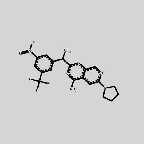 CC(c1cc([N+](=O)[O-])cc(C(F)(F)F)c1)c1nc(N)c2cc(N3CCCC3)ncc2n1